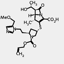 C=CCOC(=O)N1C[C@@H](SC2=C(C(=O)O)N3C(=O)[C@H]([C@@H](C)O)[C@H]3[C@H]2C)C[C@@H]1CCn1cncc1COC